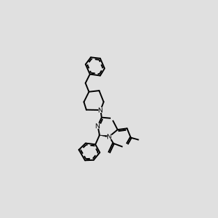 C=C(C)/C=C(/C)N(C(=C)C)[C@H](/N=C(\C)N1CCC(Cc2ccccc2)CC1)c1ccccc1